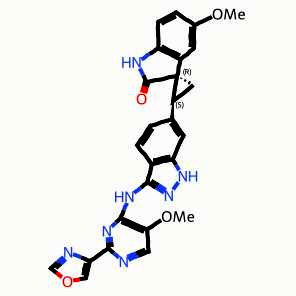 COc1ccc2c(c1)[C@]1(C[C@H]1c1ccc3c(Nc4nc(-c5cocn5)ncc4OC)n[nH]c3c1)C(=O)N2